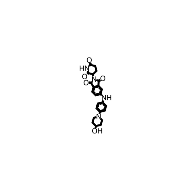 O=C1CCC(N2C(=O)c3ccc(Nc4ccc(N5CCC(O)CC5)cc4)cc3C2=O)C(=O)N1